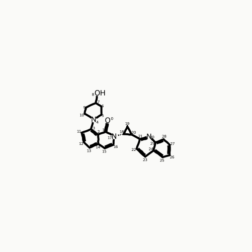 O=c1c2c(N3CCC(O)CC3)cccc2ccn1[C@@H]1CC1c1ccc2ccccc2n1